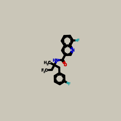 CC(Cc1cccc(F)c1)(CC(F)(F)F)NC(=O)c1cnc2c(F)cccc2c1